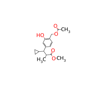 COC(=O)C(C)C(c1ccc(COC(C)=O)c(O)c1)C1CC1